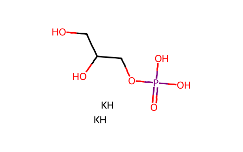 O=P(O)(O)OCC(O)CO.[KH].[KH]